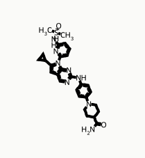 C[SH](C)(=O)Nc1cccc(-n2c(C3CC3)cc3cnc(Nc4ccc(N5CCC(C(N)=O)CC5)cc4)nc32)n1